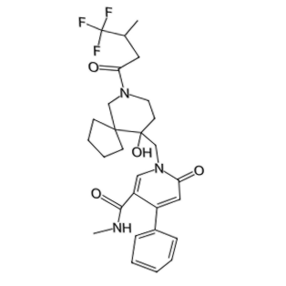 CNC(=O)c1cn(CC2(O)CCN(C(=O)CC(C)C(F)(F)F)CC23CCCC3)c(=O)cc1-c1ccccc1